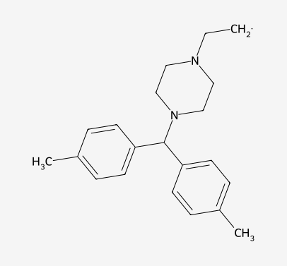 [CH2]CN1CCN(C(c2ccc(C)cc2)c2ccc(C)cc2)CC1